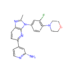 Cc1nc2ccc(-c3ccnc(N)c3)nc2n1-c1ccc(N2CCOCC2)c(F)c1